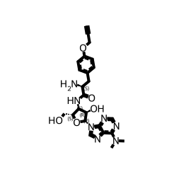 C#CCOc1ccc(C[C@H](N)C(=O)N[C@H]2[C@@H](O)[C@H](n3cnc4c(N(C)C)ncnc43)O[C@@H]2CO)cc1